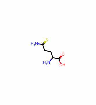 NC(=S)CCC(N)C(=O)O